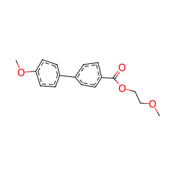 COCCOC(=O)c1ccc(-c2ccc(OC)cc2)cc1